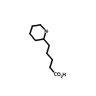 O=C(O)CCCCC1CCCC[N]1